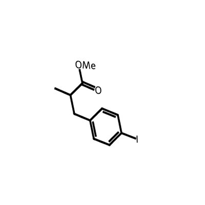 COC(=O)C(C)Cc1ccc(I)cc1